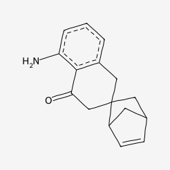 Nc1cccc2c1C(=O)CC1(C2)CC2C=CC1C2